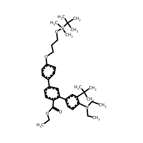 CCOC(=O)c1ccc(-c2ccc(OCCCO[Si](C)(C)C(C)(C)C)cc2)cc1-c1ccc(N(CC)CC)c(C(C)(C)C)c1